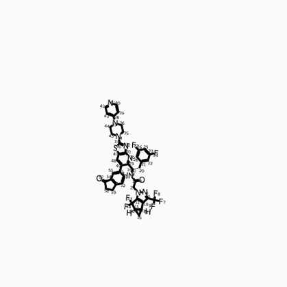 O=C(Cn1nc(C(F)(F)F)c2c1C(F)(F)[C@@H]1C[C@H]21)N[C@@H](Cc1cc(F)cc(F)c1)c1nc2nc(N3CCN(c4ccncc4)CC3)sc2cc1-c1ccc2c(c1)C(=O)CC2